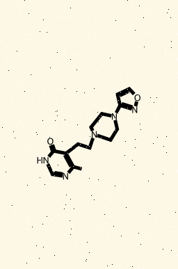 Cc1nc[nH]c(=O)c1CCN1CCN(c2ccon2)CC1